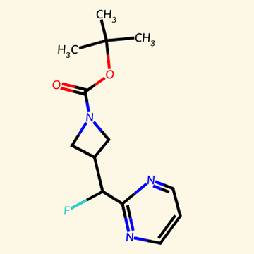 CC(C)(C)OC(=O)N1CC(C(F)c2ncccn2)C1